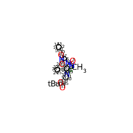 Cn1c(=O)n(-c2ccc(OCc3ccccc3)nc2OCc2ccccc2)c2ccc(N3CCC(CC(=O)OC(C)(C)C)CC3)c(F)c21